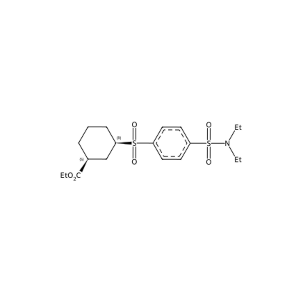 CCOC(=O)[C@H]1CCC[C@@H](S(=O)(=O)c2ccc(S(=O)(=O)N(CC)CC)cc2)C1